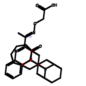 C/C(=N\OCC(=O)O)c1nc2ccccc2n(C2CC3CCCC(C2)N3C2CC3CCCCC(C3)C2)c1=O